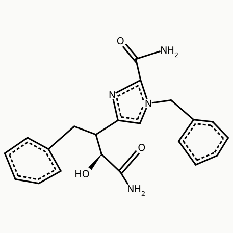 NC(=O)c1nc(C(Cc2ccccc2)[C@H](O)C(N)=O)cn1Cc1ccccc1